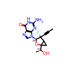 CC#CC1(F)C2CC2([C@H](C)O)O[C@H]1n1cnc2c(=O)[nH]c(N)nc21